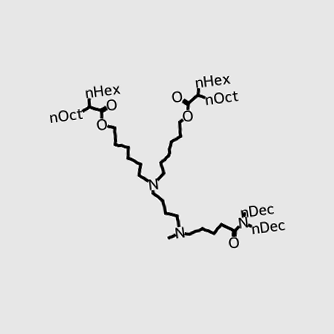 CCCCCCCCCCN(CCCCCCCCCC)C(=O)CCCCN(C)CCCCN(CCCCCCOC(=O)C(CCCCCC)CCCCCCCC)CCCCCCOC(=O)C(CCCCCC)CCCCCCCC